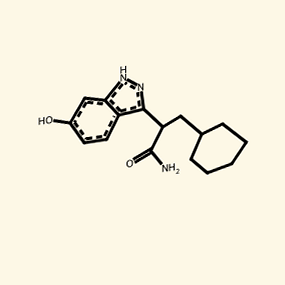 NC(=O)C(CC1CCCCC1)c1n[nH]c2cc(O)ccc12